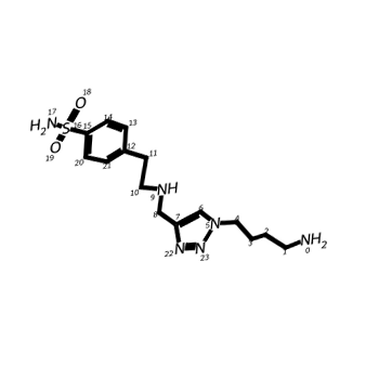 NCCCCn1cc(CNCCc2ccc(S(N)(=O)=O)cc2)nn1